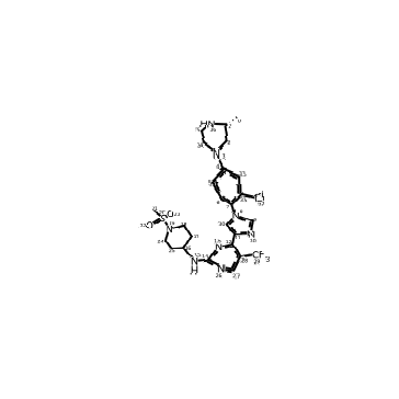 C[C@@H]1CN(c2ccc(-n3cnc(-c4nc(NC5CCN(S(C)(=O)=O)CC5)ncc4C(F)(F)F)c3)c(Cl)c2)CCN1